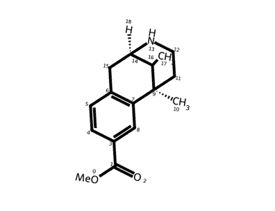 COC(=O)c1ccc2c(c1)[C@]1(C)CCN[C@H](C2)C1C